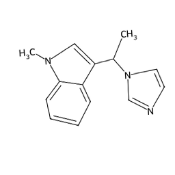 CC(c1cn(C)c2ccccc12)n1ccnc1